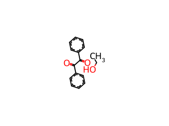 CCO.O=C(C(=O)c1ccccc1)c1ccccc1